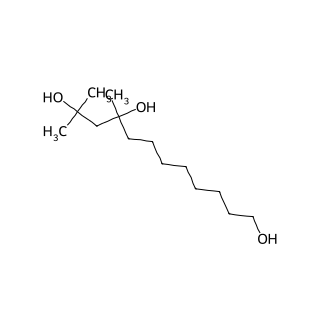 CC(C)(O)CC(C)(O)CCCCCCCCO